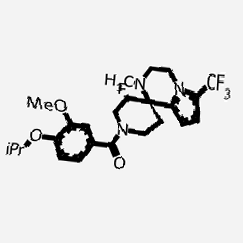 COc1cc(C(=O)N2CC[C@@]3(c4ccc(C(F)(F)F)n4CCN3C)[C@H](F)C2)ccc1OC(C)C